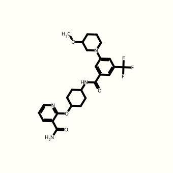 COC1CCCN(c2cc(C(=O)NC3CCC(Oc4ncccc4C(N)=O)CC3)cc(C(F)(F)F)c2)C1